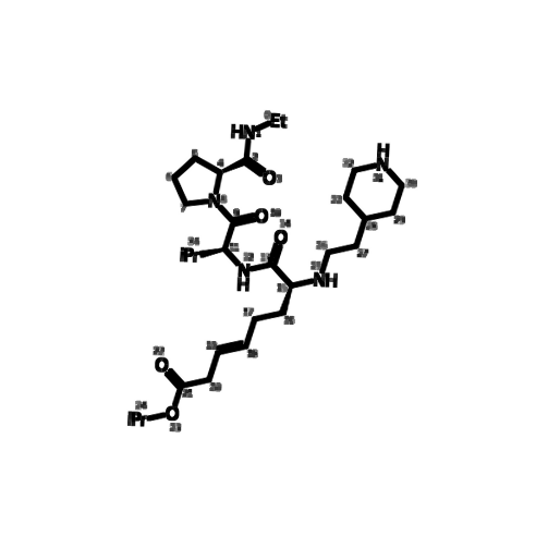 CCNC(=O)[C@@H]1CCCN1C(=O)[C@@H](NC(=O)[C@H](CCC=CCC(=O)OC(C)C)NCCC1CCNCC1)C(C)C